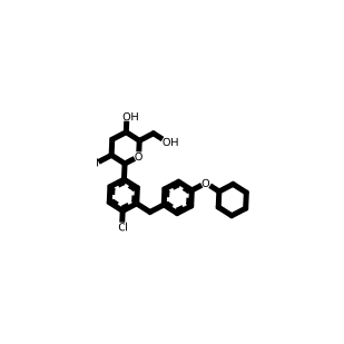 OCC1OC(c2ccc(Cl)c(Cc3ccc(OC4CCCCC4)cc3)c2)C(I)CC1O